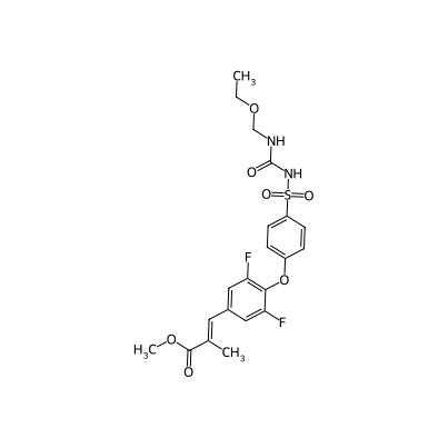 CCOCNC(=O)NS(=O)(=O)c1ccc(Oc2c(F)cc(/C=C(\C)C(=O)OC)cc2F)cc1